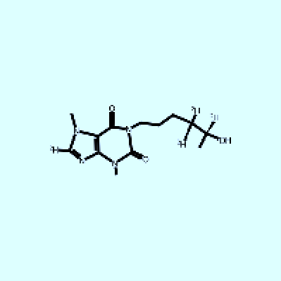 [2H]c1nc2c(c(=O)n(CCCC([2H])([2H])[C@@]([2H])(C)O)c(=O)n2C)n1C